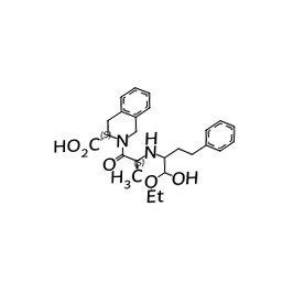 CCOC(O)C(CCc1ccccc1)N[C@@H](C)C(=O)N1Cc2ccccc2C[C@H]1C(=O)O